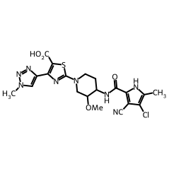 COC1CN(c2nc(-c3cn(C)nn3)c(C(=O)O)s2)CCC1NC(=O)c1[nH]c(C)c(Cl)c1C#N